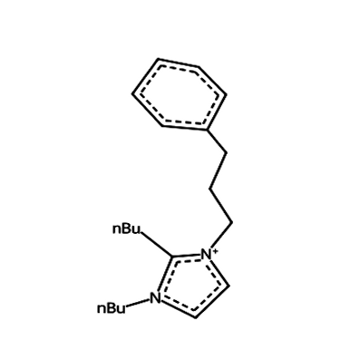 CCCCc1n(CCCC)cc[n+]1CCCc1ccccc1